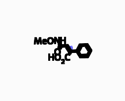 CONC(=O)/C=C(\C(=O)O)c1ccccc1